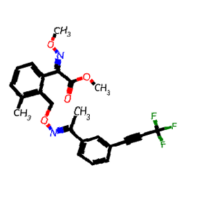 CO/N=C(/C(=O)OC)c1cccc(C)c1CO/N=C(\C)c1cccc(C#CC(F)(F)F)c1